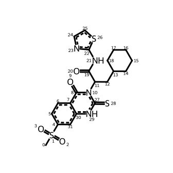 CS(=O)(=O)c1ccc2c(=O)n(C(CC3CCCCC3)C(=O)Nc3nccs3)c(=S)[nH]c2c1